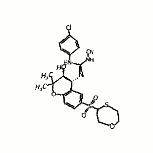 CC1(C)Oc2ccc(S(=O)(=O)C3COCCS3)cc2[C@@H](N=C(NC#N)Nc2ccc(Cl)cc2)[C@@H]1O